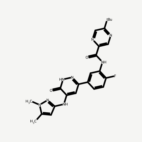 Cc1cc(Nc2cc(-c3ccc(F)c(NC(=O)c4cnc(C(C)(C)C)cn4)c3)n[nH]c2=O)nn1C